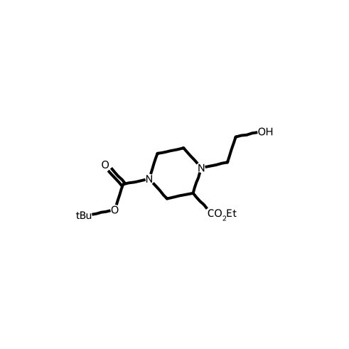 CCOC(=O)C1CN(C(=O)OC(C)(C)C)CCN1CCO